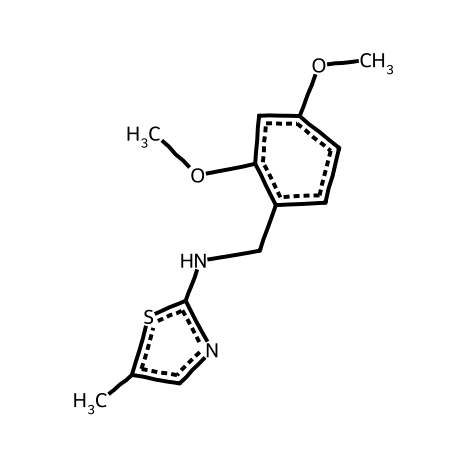 COc1ccc(CNc2ncc(C)s2)c(OC)c1